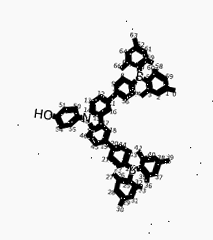 Cc1cc(C)c(B(c2ccc(-c3ccc4c(c3)c3cc(-c5ccc(B(c6c(C)cc(C)cc6C)c6c(C)cc(C)cc6C)cc5)ccc3n4-c3ccc(O)cc3)cc2)c2c(C)cc(C)cc2C)c(C)c1